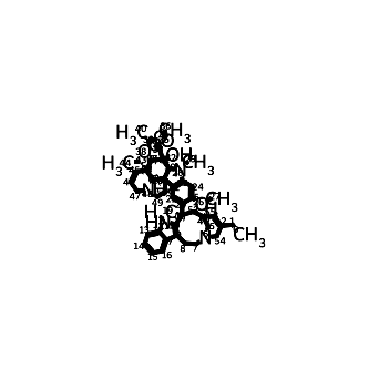 CCC1=C[C@@H]2CN(CCc3c([nH]c4ccccc34)[C@@](C)(c3cc4c(cc3OC)N(C)C3C(O)(C(=O)OC)[C@H](OC(C)=O)[C@]5(CC)C=CCN6CC[C@]43[C@@H]65)C2)C1